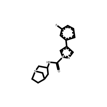 O=C(NC1CC2CCN(C2)C1)n1cc(-c2cccc(F)c2)cn1